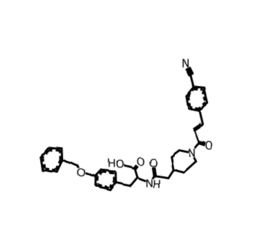 N#Cc1ccc(C=CC(=O)N2CCC(CC(=O)NC(Cc3ccc(OCc4ccccc4)cc3)C(=O)O)CC2)cc1